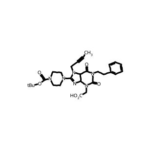 CC#CCN1C(N2CCN(C(=O)OC(C)(C)C)CC2)=NC2C1C(=O)N(CCc1ccccc1)C(=O)N2CC(=O)O